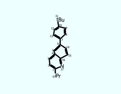 CC(C)c1ccc2cc(-c3ccc(C(C)(C)C)cc3)ccc2n1